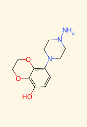 NN1CCN(c2ccc(O)c3c2OCCO3)CC1